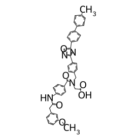 COc1cccc(CC(=O)Nc2ccc(C(=O)N(CC(=O)O)Cc3ccc(-c4noc(-c5ccc(-c6ccc(C)cc6)cc5)n4)cc3)cc2)c1